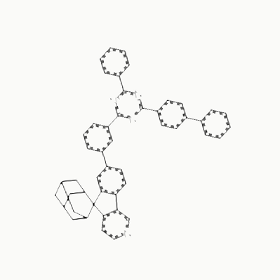 c1ccc(-c2ccc(-c3nc(-c4ccccc4)nc(-c4cccc(-c5ccc6c(c5)C5(c7ccncc7-6)C6CC7CC(C6)CC5C7)c4)n3)cc2)cc1